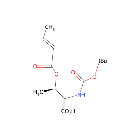 CC=CC(=O)O[C@H](C)[C@H](NC(=O)OC(C)(C)C)C(=O)O